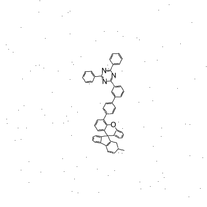 CC1C=CC2=C(C1)C1(c3ccccc3Oc3c(-c4ccc(-c5cccc(-c6nc(-c7ccccc7)nc(-c7ccccc7)n6)c5)cc4)cccc31)c1ccccc12